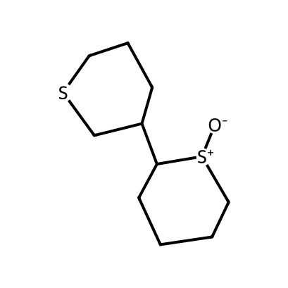 [O-][S+]1CCCCC1C1CCCSC1